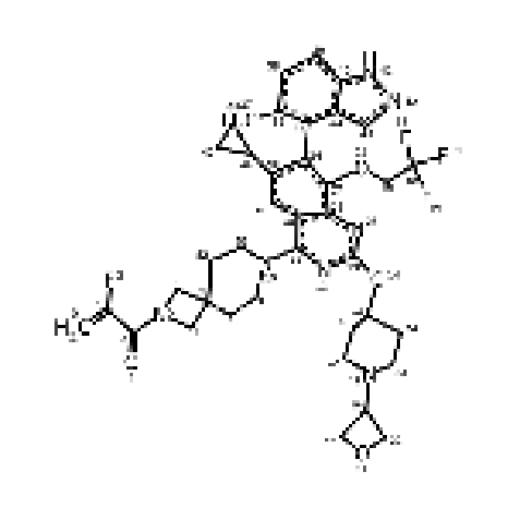 C=C(F)C(=O)N1CC2(CCN(c3nc(OC4CCN(C5COC5)CC4)nc4c(OCC(F)(F)F)c(-c5c(C)ccc6[nH]ncc56)c(C5CC5)cc34)CC2)C1